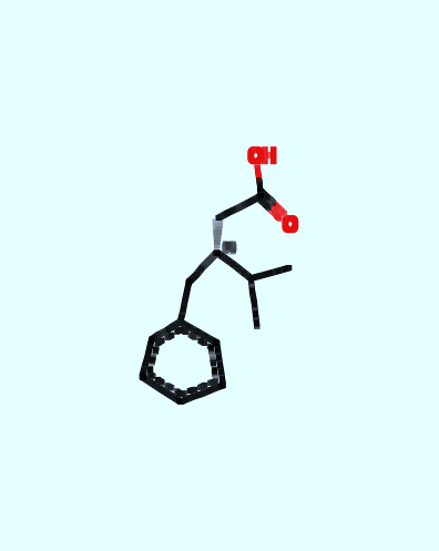 CC(C)[C@@H](CC(=O)O)Cc1ccccc1